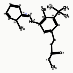 COC(=O)CCc1cc(N/N=C2/C=CC=CC2N)c(O)c(C(C)(C)C)c1